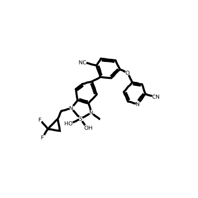 CN1c2cc(-c3cc(Oc4ccnc(C#N)c4)ccc3C#N)ccc2N(CC2CC2(F)F)S1(O)O